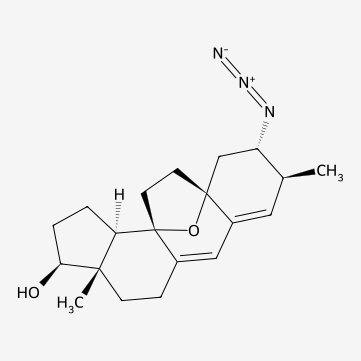 C[C@H]1C=C2C=C3CC[C@@]4(C)[C@@H](CC[C@@H]4O)[C@@]34CC[C@]2(C[C@@H]1N=[N+]=[N-])O4